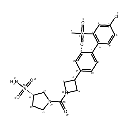 CS(=O)(=O)c1cc(Cl)ccc1-c1ccc(C2CN(C(=O)N3CC[C@H](S(N)(=O)=O)C3)C2)cc1